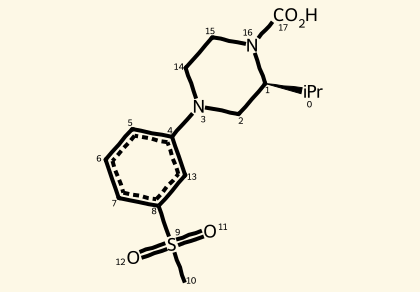 CC(C)[C@H]1CN(c2cccc(S(C)(=O)=O)c2)CCN1C(=O)O